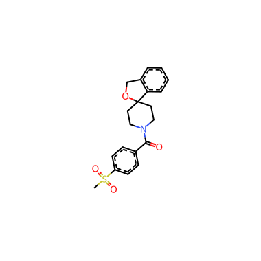 CS(=O)(=O)c1ccc(C(=O)N2CCC3(CC2)OCc2ccccc23)cc1